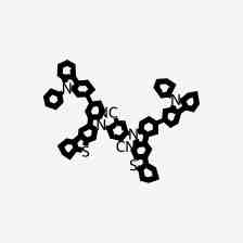 N#Cc1cc(-n2c3ccc(-c4ccc5c6ccccc6n(-c6ccccc6)c5c4)cc3c3cc4c(cc32)sc2ccccc24)c(C#N)cc1-n1c2ccc(-c3ccc4c5ccccc5n(-c5ccccc5)c4c3)cc2c2cc3c(cc21)sc1ccccc13